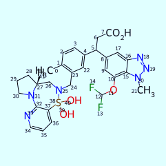 Cc1ccc(C(CC(=O)O)c2cc(OC(F)F)c3c(c2)nnn3C)cc1CN1C[C@H]2CCCN2c2ncccc2S1(O)O